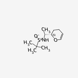 CC(N[S+]([O-])C(C)(C)C)[C@@H]1CCC=CO1